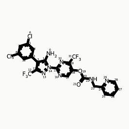 Nc1c(-c2cc(Cl)cc(Cl)c2)c(C(F)(F)F)nn1-c1ncc(OC(=O)NCc2ccccn2)c(C(F)(F)F)n1